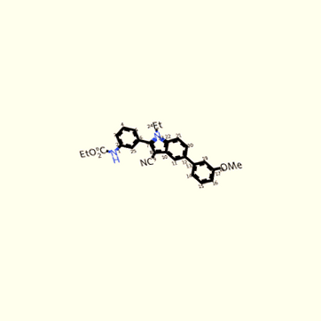 CCOC(=O)Nc1cccc(-c2c(C#N)c3cc(-c4cccc(OC)c4)ccc3n2CC)c1